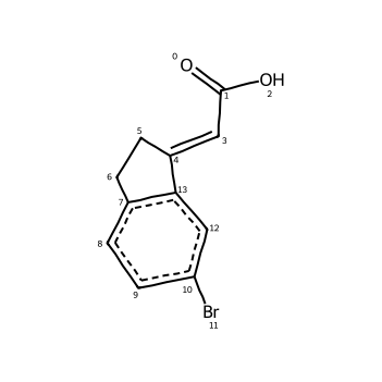 O=C(O)/C=C1\CCc2ccc(Br)cc21